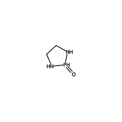 O=[PH]1NCCN1